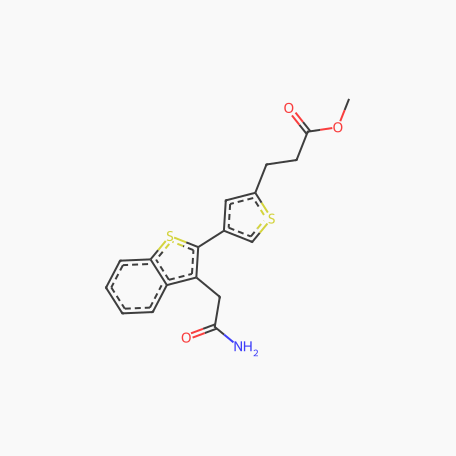 COC(=O)CCc1cc(-c2sc3ccccc3c2CC(N)=O)cs1